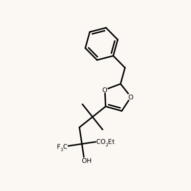 CCOC(=O)C(O)(CC(C)(C)C1=COC(Cc2ccccc2)O1)C(F)(F)F